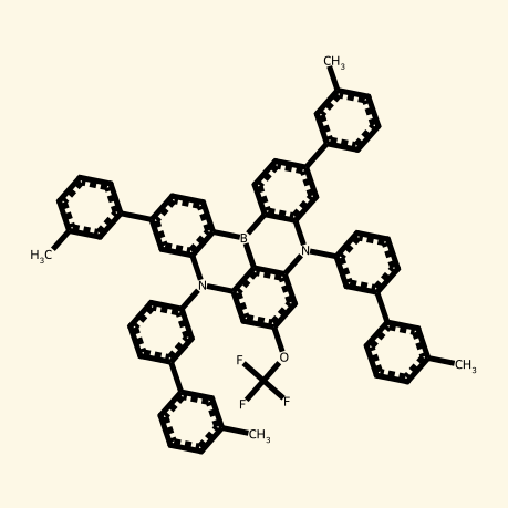 Cc1cccc(-c2cccc(N3c4cc(-c5cccc(C)c5)ccc4B4c5ccc(-c6cccc(C)c6)cc5N(c5cccc(-c6cccc(C)c6)c5)c5cc(OC(F)(F)F)cc3c54)c2)c1